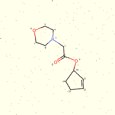 O=C(CN1CCOCC1)OC1C=CCC1